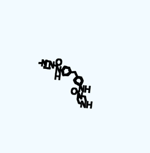 CN1CCN(C(=O)Nc2ccc(Cc3ccc(NC(=O)N4CCNCC4)cc3)cc2)CC1